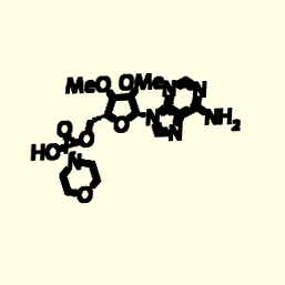 COC1C(OC)[C@@H](COP(=O)(O)N2CCOCC2)O[C@H]1n1cnc2c(N)ncnc21